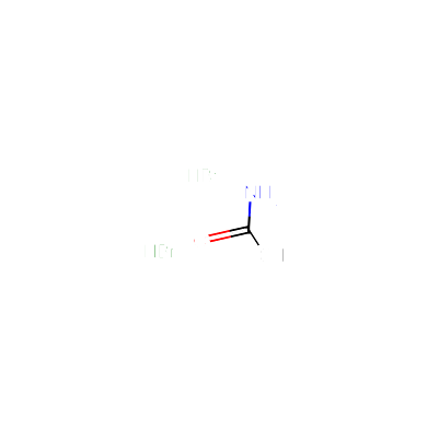 Br.Br.CC(N)=O